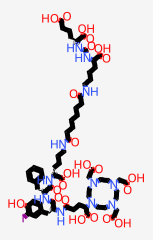 O=C(O)CCC[C@H](NC(=O)NC(CCCCNC(=O)CCCCCCC(=O)NCCCC[C@@H](NC(=O)[C@@H](Cc1ccccc1)NC(=O)[C@@H](Cc1ccc(O)c(I)c1)NC(=O)CCC(C(=O)O)N1CCN(CC(=O)O)CCN(CC(=O)O)CCN(CC(=O)O)CC1)C(=O)O)C(=O)O)C(=O)O